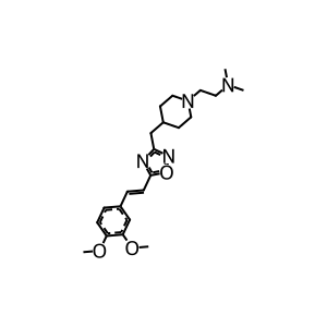 COc1ccc(C=Cc2nc(CC3CCN(CCN(C)C)CC3)no2)cc1OC